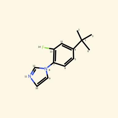 CC(C)(C)c1ccc(-n2ccnc2)c(F)c1